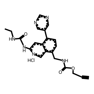 C#CCOC(=O)NCc1ccc(-c2cncnc2)c2cc(NC(=O)NCC)ncc12.Cl